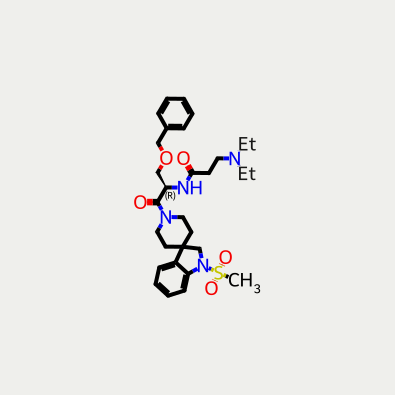 CCN(CC)CCC(=O)N[C@H](COCc1ccccc1)C(=O)N1CCC2(CC1)CN(S(C)(=O)=O)c1ccccc12